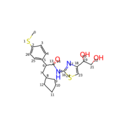 CSc1ccc(C(CC2CCCC2)C(=O)Nc2nc(C(O)CO)cs2)cc1